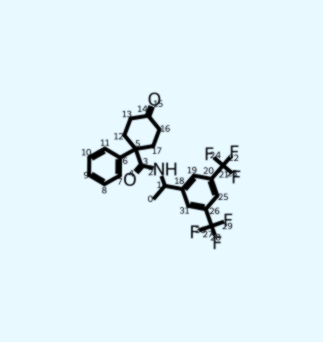 CC(NC(=O)C1(c2ccccc2)CCC(=O)CC1)c1cc(C(F)(F)F)cc(C(F)(F)F)c1